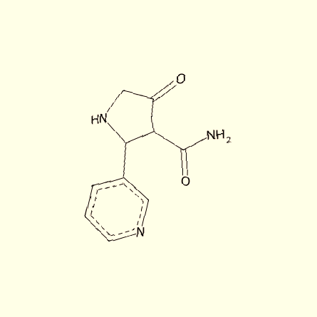 NC(=O)C1C(=O)CNC1c1cccnc1